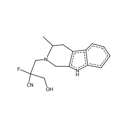 CC1Cc2c([nH]c3ccccc23)CN1CC(F)(C#N)CO